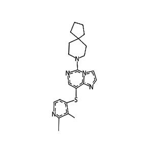 Cc1nccc(Sc2cnc(N3CCC4(CCCC4)CC3)n3ccnc23)c1C